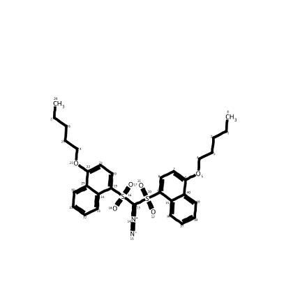 CCCCCOc1ccc(S(=O)(=O)C(=[N+]=[N-])S(=O)(=O)c2ccc(OCCCCC)c3ccccc23)c2ccccc12